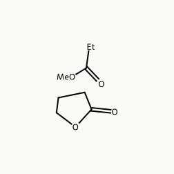 CCC(=O)OC.O=C1CCCO1